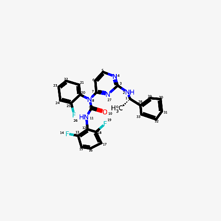 C[C@H](Nc1nccc(N(C(=O)Nc2c(F)cccc2F)c2ccccc2F)n1)c1ccccc1